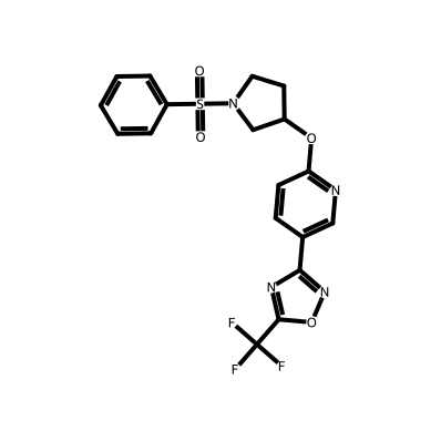 O=S(=O)(c1ccccc1)N1CCC(Oc2ccc(-c3noc(C(F)(F)F)n3)cn2)C1